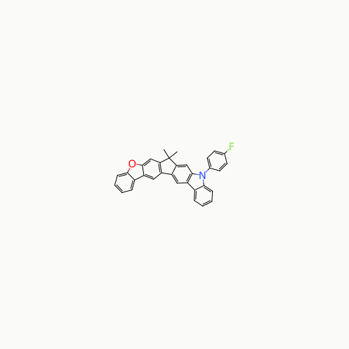 CC1(C)c2cc3oc4ccccc4c3cc2-c2cc3c4ccccc4n(-c4ccc(F)cc4)c3cc21